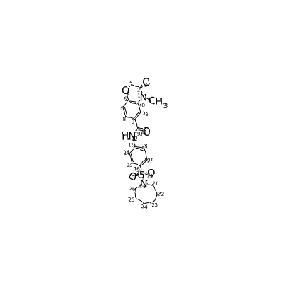 CN1C(=O)COc2ccc(C(=O)Nc3ccc(S(=O)(=O)N4CCCCCC4)cc3)cc21